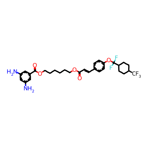 Nc1cc(N)cc(C(=O)OCCCCCCOC(=O)/C=C/c2ccc(OC(F)(F)C3CCC(C(F)(F)F)CC3)cc2)c1